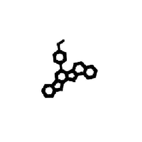 COc1ccc(-c2cc3c4ccccc4sc3c3nc4c5ccccc5ccc4n23)cc1